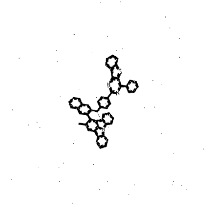 Cc1cc2c3ccccc3n3c4ccccc4c(c1-c1cc4ccccc4cc1[C@@H](C)c1ccc(-c4nc(-c5ccccc5)c5sc6ccccc6c5n4)cc1)c23